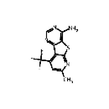 Cc1cc(C(F)(F)F)c2c(n1)sc1c(N)ncnc12